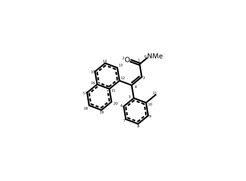 CNC(=O)C=C(c1ccccc1C)c1cccc2ccccc12